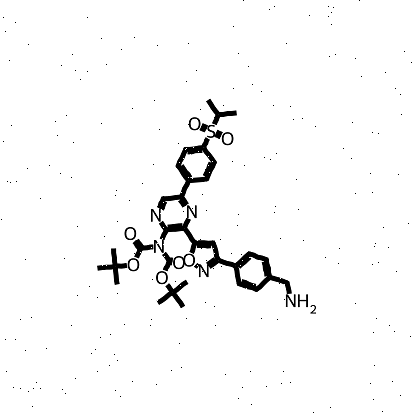 CC(C)S(=O)(=O)c1ccc(-c2cnc(N(C(=O)OC(C)(C)C)C(=O)OC(C)(C)C)c(-c3cc(-c4ccc(CN)cc4)no3)n2)cc1